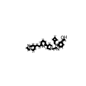 C=C(O)c1ccc2nc(CN3CCC(c4cccc(CCc5ccn6ccnc6c5)n4)CC3)n(CC3CCC3)c2c1